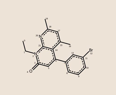 CCn1c(=O)cc(-c2cccc(Br)c2)c2c(C)cc(C)nc21